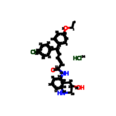 CCOc1ccc(C(=CC=CC(=O)Nc2cccc3c2CC(O)CN3)c2ccc(Cl)cc2)cc1.Cl